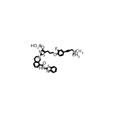 CN(C)CC#Cc1ccc(OCCCc2sc(N3CCc4cccc(C(=O)Nc5nc6ccccc6s5)c4C3)nc2OC(=O)O)c(F)c1